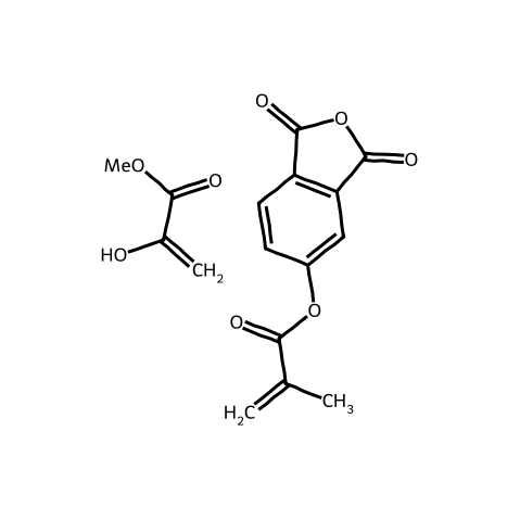 C=C(C)C(=O)Oc1ccc2c(c1)C(=O)OC2=O.C=C(O)C(=O)OC